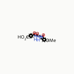 COc1ccc2c(c1)C(=O)N(CNC(=O)NC(=O)c1ccc(C(=O)O)cc1)C2